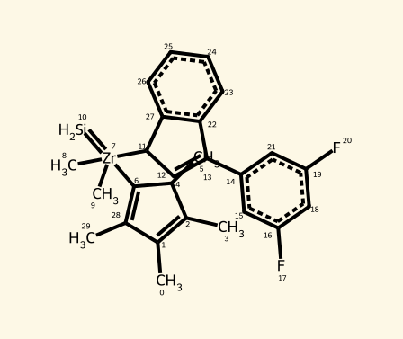 CC1=C(C)C(C)[C]([Zr]([CH3])([CH3])(=[SiH2])[CH]2C=C(c3cc(F)cc(F)c3)c3ccccc32)=C1C